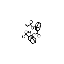 C=CC(=O)OC12CC3CC(C1)CC(C(=O)OC14CC5CC(C1)CC(C(=O)O)(C5)C4)(C3)C2